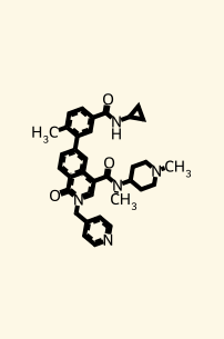 Cc1ccc(C(=O)NC2CC2)cc1-c1ccc2c(=O)n(Cc3ccncc3)cc(C(=O)N(C)C3CCN(C)CC3)c2c1